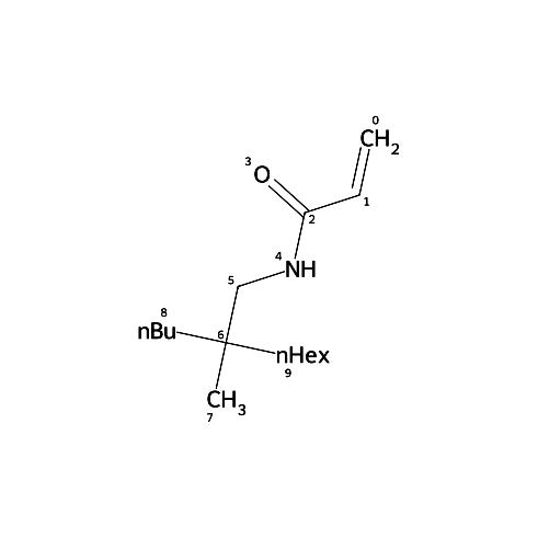 C=CC(=O)NCC(C)(CCCC)CCCCCC